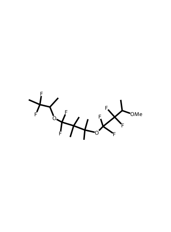 COC(C)C(F)(F)C(F)(F)OC(C)(C)C(C)(C)C(F)(F)OC(C)C(C)(F)F